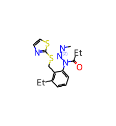 CCC(=O)N(/N=N\C)c1cccc(CC)c1CSc1nccs1